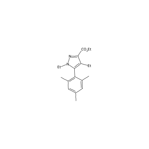 CCOC(=O)c1nn(CC)c(-c2c(C)cc(C)cc2C)c1CC